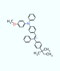 CCC(C)(C)c1ccc(/C(=C/c2ccc(N(c3ccccc3)c3ccc(OC)cc3)cc2)c2ccccc2)cc1